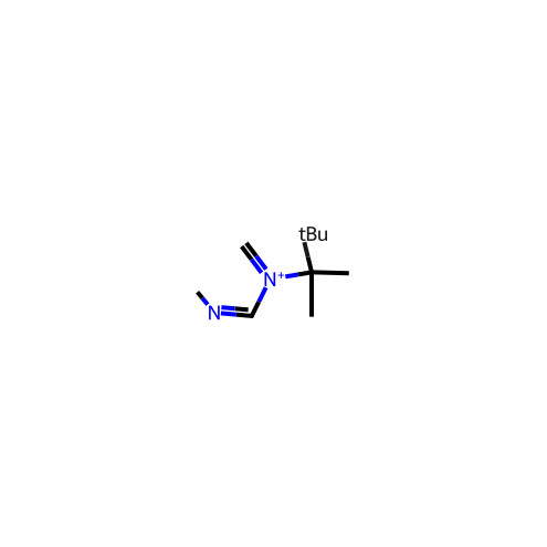 C=[N+](/C=N\C)C(C)(C)C(C)(C)C